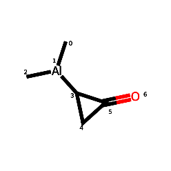 [CH3][Al]([CH3])[CH]1CC1=O